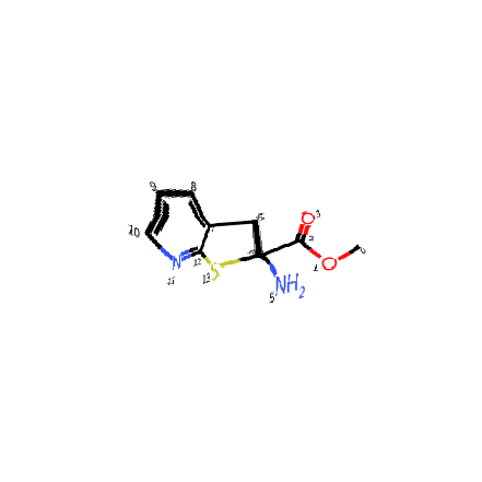 COC(=O)C1(N)Cc2cccnc2S1